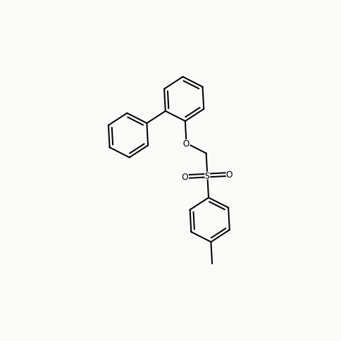 Cc1ccc(S(=O)(=O)COc2ccccc2-c2ccccc2)cc1